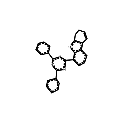 C1=Cc2c(oc3c(-c4nc(-c5ccccc5)nc(-c5ccccc5)n4)cccc23)CC1